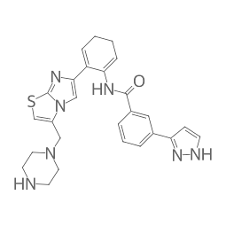 O=C(NC1=CCCC=C1c1cn2c(CN3CCNCC3)csc2n1)c1cccc(-c2cc[nH]n2)c1